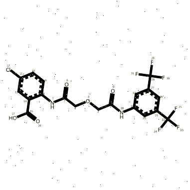 O=C(COCC(=O)Nc1ccc(Cl)cc1C(=O)O)Nc1cc(C(F)(F)F)cc(C(F)(F)F)c1